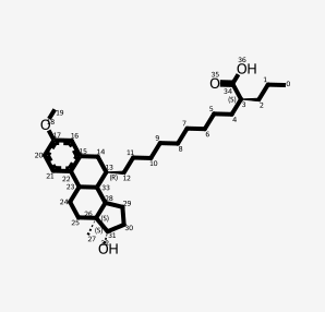 CCC[C@@H](CCCCCCCCC[C@@H]1Cc2cc(OC)ccc2C2CC[C@@]3(C)C(CC[C@@H]3O)C21)C(=O)O